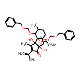 C=C(C)C1=C(C)C2(O)C(O)(C[C@@]3(OCOCc4ccccc4)CCC(C)C(OCOCc4ccccc4)C23OCOC)C1=O